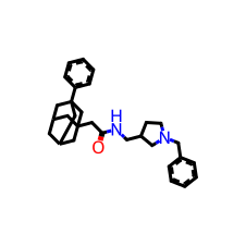 O=C(CC12CC3CC(C1)CC(c1ccccc1)(C3)C2)NCC1CCN(Cc2ccccc2)C1